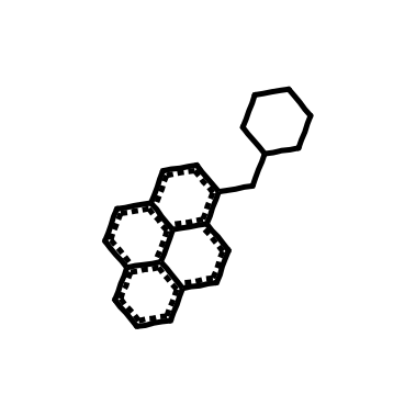 c1cc2ccc3ccc(CC4CCCCC4)c4ccc(c1)c2c34